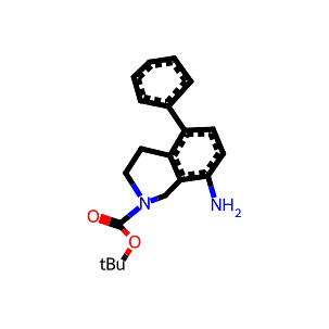 CC(C)(C)OC(=O)N1CCc2c(-c3ccccc3)ccc(N)c2C1